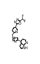 FC(F)c1nnc(-c2ccc(Cn3cc(-c4ccnc5[nH]ccc45)nn3)nc2)o1